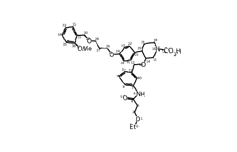 CCOCCC(=O)Nc1cccc(COC2CN(C(=O)O)CCC2c2ccc(OCCCOCc3ccccc3OC)cc2)c1